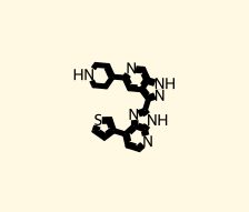 C1=C(c2cc3c(-c4nc5c(-c6ccsc6)ccnc5[nH]4)n[nH]c3cn2)CCNC1